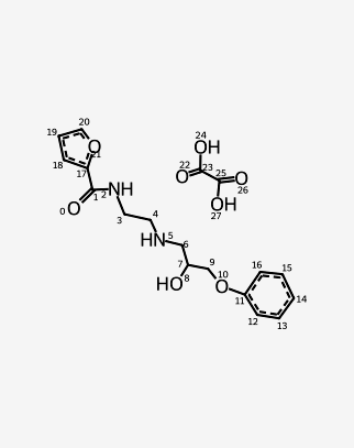 O=C(NCCNCC(O)COc1ccccc1)c1ccco1.O=C(O)C(=O)O